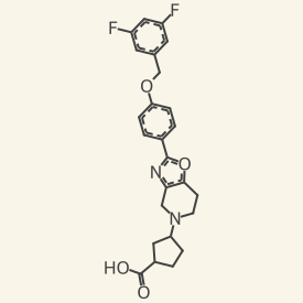 O=C(O)C1CCC(N2CCc3oc(-c4ccc(OCc5cc(F)cc(F)c5)cc4)nc3C2)C1